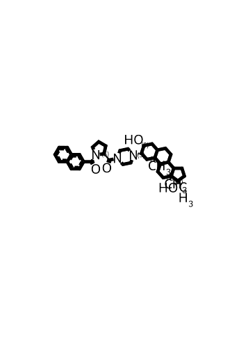 C[C@]12C[C@H](N3CCN(C(=O)[C@@H]4CCCN4C(=O)c4ccc5ccccc5c4)CC3)[C@@H](O)CC1CCC1C2CC[C@@]2(C)C1CC[C@@]2(C)O